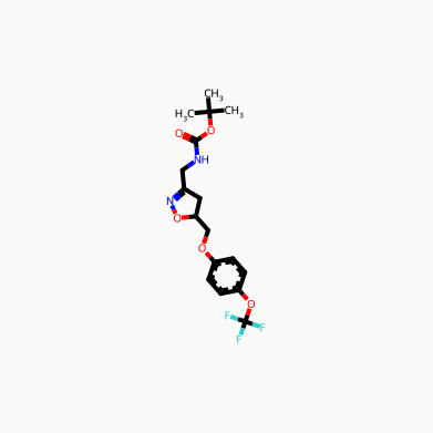 CC(C)(C)OC(=O)NCC1=NOC(COc2ccc(OC(F)(F)F)cc2)C1